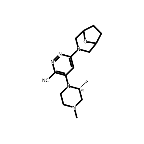 C[C@@H]1CN(C)CCN1c1cc(N2CC3CCC(C2)O3)nnc1C#N